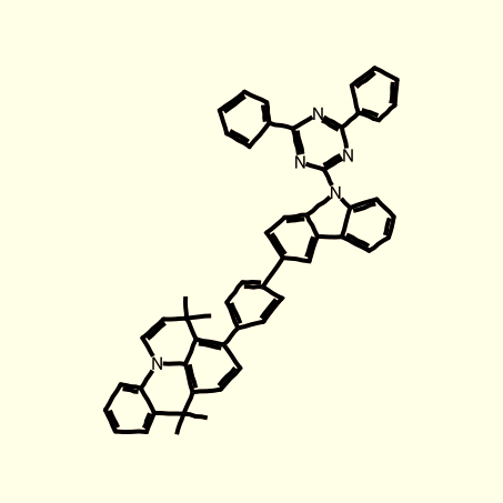 CC1(C)C=CN2c3ccccc3C(C)(C)c3ccc(-c4ccc(-c5ccc6c(c5)c5ccccc5n6-c5nc(-c6ccccc6)nc(-c6ccccc6)n5)cc4)c1c32